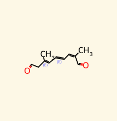 CC(C=O)=C/C=C/C=C(\C)CC=O